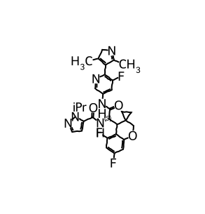 CC1=NCC(C)=C1c1ncc(NC(=O)[C@@H](NC(=O)c2ccnn2C(C)C)C2c3c(F)cc(F)cc3OCC23CC3)cc1F